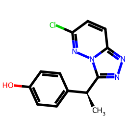 C[C@@H](c1ccc(O)cc1)c1nnc2ccc(Cl)nn12